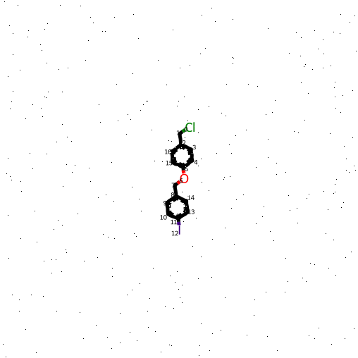 ClCc1ccc(OCc2ccc(I)cc2)cc1